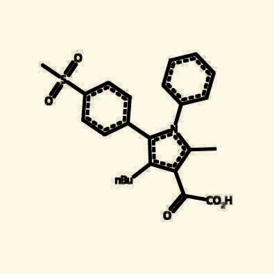 CCCCc1c(C(=O)C(=O)O)c(C)n(-c2ccccc2)c1-c1ccc(S(C)(=O)=O)cc1